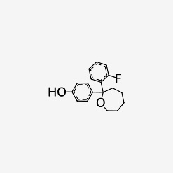 Oc1ccc(C2(c3ccccc3F)CCCCCO2)cc1